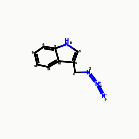 [N-]=[N+]=NCc1c[nH]c2ccccc12